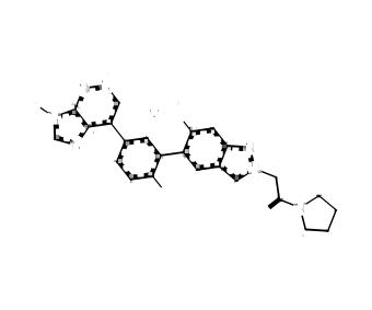 CCn1cnc2c(-c3ccc(F)c(-c4cc5cn(CC(=O)N6CCCC6)nc5cc4OC)c3)cnnc21